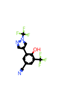 N#Cc1cc(-c2cnn(C(F)(F)F)c2)c(O)c(C(F)(F)F)c1